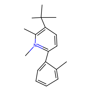 Cc1ccccc1-c1ccc(C(C)(C)C)c(C)[n+]1C